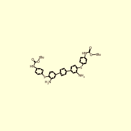 CC(C)(C)OC(=O)Nc1ccc(Sc2ccc(-c3ccc(-c4ccc(Sc5ccc(NC(=O)OC(C)(C)C)cc5)c(N)c4)cc3)cc2N)cc1